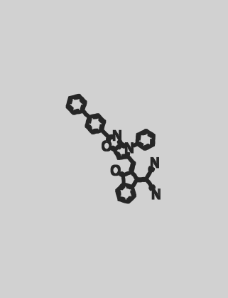 N#CC(C#N)=C1/C(=C/c2cc3oc(-c4ccc(-c5ccccc5)cc4)nc3n2-c2ccccc2)C(=O)c2ccccc21